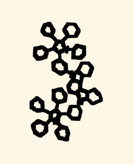 C1=CC(c2c(-c3ccccc3)c(-c3ccccc3)c(-c3cccc(-n4c5c(c6c7c8c(n(C9C=C(c%10c(-c%11ccccc%11)c(-c%11ccccc%11)c(-c%11ccccc%11)n%10-c%10ccccc%10)C=CC9)c7ccc64)CCC=C8)C=CCC5)c3)n2-c2ccccc2)=CCC1